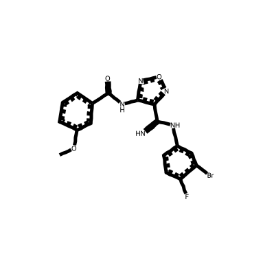 COc1cccc(C(=O)Nc2nonc2C(=N)Nc2ccc(F)c(Br)c2)c1